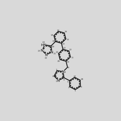 c1ccc(-c2nccn2Cc2ccc(-c3ccccc3-c3nnn[nH]3)cc2)cc1